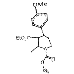 CCOC(=O)C1C(c2ccc(OC)cc2)CCN(C(=O)OC(C)(C)C)C1C